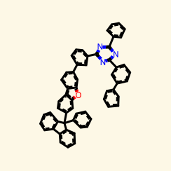 c1ccc(-c2cccc(-c3nc(-c4ccccc4)nc(-c4cccc(-c5ccc6c(c5)oc5cc(C7(c8ccccc8)c8ccccc8-c8ccccc87)ccc56)c4)n3)c2)cc1